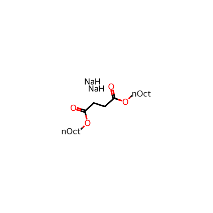 CCCCCCCCOC(=O)CCC(=O)OCCCCCCCC.[NaH].[NaH]